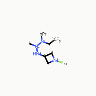 CCCN(CC(F)(F)F)N(C)NC1CN(F)C1